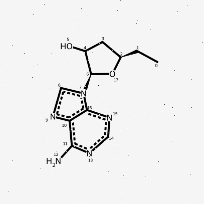 CC[C@@H]1CC(O)[C@H](n2cnc3c(N)ncnc32)O1